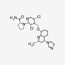 Cc1cc(-n2ccnc2)c2cccc(OCc3c(Cl)cnc(N4CCC[C@H]4C(N)=O)c3Cl)c2n1